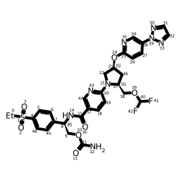 CCS(=O)(=O)c1ccc([C@H](COC(N)=O)NC(=O)c2ccc(N3C[C@@H](Oc4ccc(-n5nccn5)cn4)C[C@H]3COC(F)F)nc2)cc1